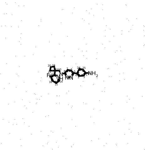 Nc1ccc(-c2ccc(NCC3(c4ncccc4F)CCC3)nn2)cc1